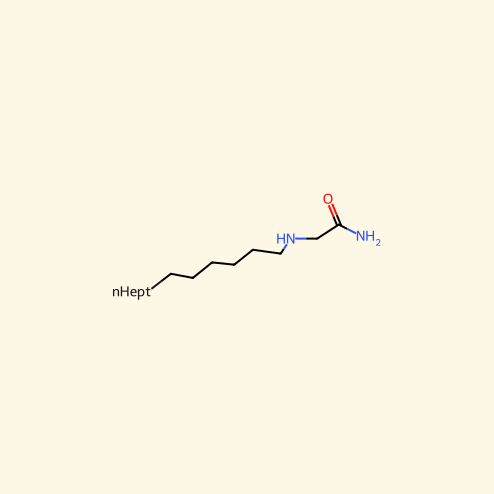 CCCCCCCCCCCCCNCC(N)=O